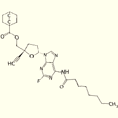 C#C[C@@]1(COC(=O)C23CCC(CC2)CC3)CC[C@H](n2cnc3c(NC(=O)CCCCCCC)nc(F)nc32)O1